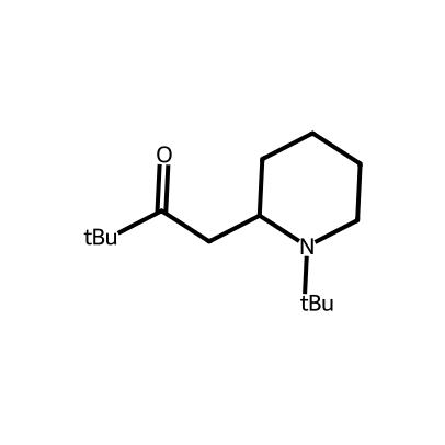 CC(C)(C)C(=O)CC1CCCCN1C(C)(C)C